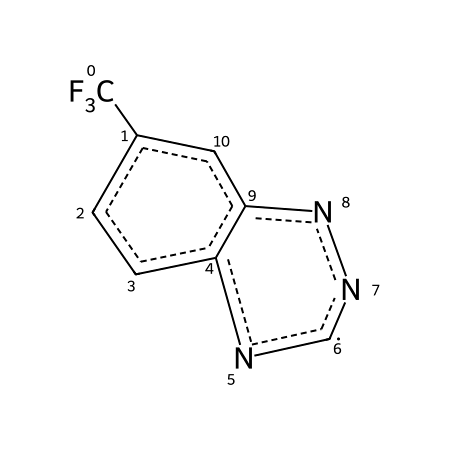 FC(F)(F)c1ccc2n[c]nnc2c1